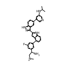 CC(C)Nc1cncc(-c2ccc3[nH]nc(-c4cc5c(-c6cc(F)cc(C(N)CN(C)C)c6)cccc5[nH]4)c3c2)c1